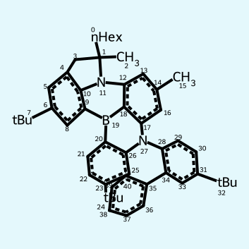 CCCCCCC1(C)Cc2cc(C(C)(C)C)cc3c2N1c1cc(C)cc2c1B3c1ccc(C(C)(C)C)cc1N2c1ccc(C(C)(C)C)cc1-c1ccccc1